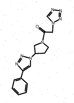 O=C(Cn1cnnn1)N1CCC(n2cc(-c3ccccc3)nn2)C1